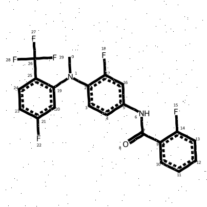 CN(c1ccc(NC(=O)c2ccccc2F)cc1F)c1cc(F)ccc1C(F)(F)F